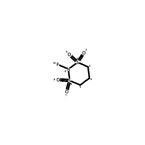 O=S1(=O)CCCS(=O)(=O)N1F